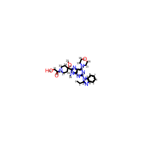 CCc1nc2ccccc2n1-c1nc(N2CCOCC2)c2nc(C3(OC)CCN(C(=O)CO)CC3)n(C)c2n1